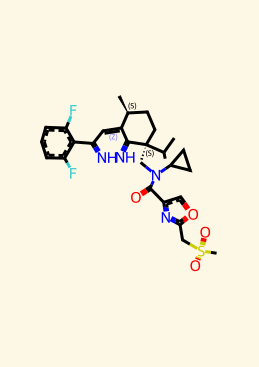 CC(C)[C@]1(CN(C(=O)c2coc(CS(C)(=O)=O)n2)C2CC2)CC[C@H](C)/C(=C/C(=N)c2c(F)cccc2F)C1=N